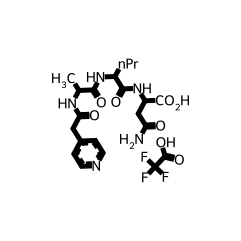 CCCC(NC(=O)C(C)NC(=O)Cc1ccncc1)C(=O)NC(CC(N)=O)C(=O)O.O=C(O)C(F)(F)F